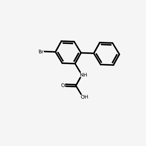 O=C(O)Nc1cc(Br)ccc1-c1ccccc1